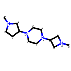 CN1CCC(N2CCN(C3CN(C)C3)CC2)C1